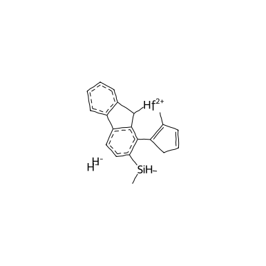 CC1=C(c2c([SiH](C)C)ccc3c2[CH]([Hf+2])c2ccccc2-3)CC=C1.[H-].[H-]